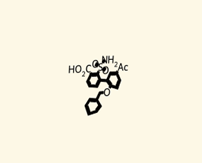 CC(=O)c1ccc(OCc2ccccc2)c(-c2cccc(C(=O)O)c2S(N)(=O)=O)c1